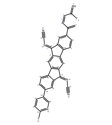 C=C(/C=C\C(=N)F)c1ccc2c(c1)/c(=N\C#N)c1cc3c(cc12)/c(=N/C#N)c1cc(-c2ccc(F)nc2)ccc13